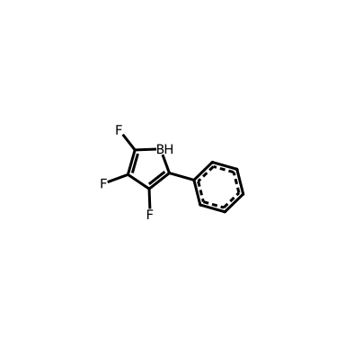 FC1=C(F)C(F)=C(c2ccccc2)B1